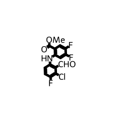 COC(=O)c1cc(F)c(F)cc1Nc1ccc(F)c(Cl)c1C=O